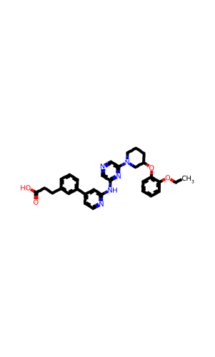 CCOc1ccccc1OC1CCCN(c2cncc(Nc3cc(-c4cccc(CCC(=O)O)c4)ccn3)n2)C1